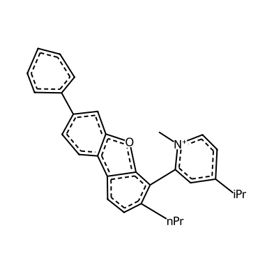 CCCc1ccc2c(oc3cc(-c4ccccc4)ccc32)c1-c1cc(C(C)C)cc[n+]1C